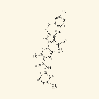 Cc1ccc2c(c1)CCn1nc(-c3cc(C)c(C(=O)Nc4cccc(C)n4)cn3)c(C(N)=O)c1N2